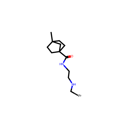 CC(C)CNCCNC(=O)C12CCC(C)(CC1)C2